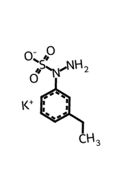 CCc1cccc(N(N)S(=O)(=O)[O-])c1.[K+]